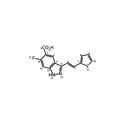 O=C(O)c1cc2c(C=Cc3cccs3)n[nH]c2cc1F